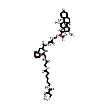 CCC(=O)O[C@]1(C(=O)COCNC(=O)CNC(=O)[C@H](Cc2ccccc2)NC(=O)CNC(=O)CNC(=O)CCCCCNC(=O)C(CC(=O)O)SC(C)C)[C@@H](C)CC2[C@@H]3CCC4=CC(=O)C=C[C@]4(C)[C@@]3(Cl)[C@@H](O)C[C@@]21C